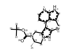 Cc1c[nH]c2nccc(-c3c(Br)nn4c3CN(C(=O)OC(C)(C)C)[C@@H](C)C4)c12